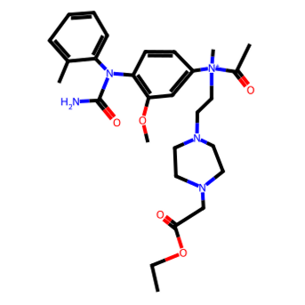 CCOC(=O)CN1CCN(CC[N+](C)(C(C)=O)c2ccc(N(C(N)=O)c3ccccc3C)c(OC)c2)CC1